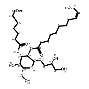 CCCCCCCC/C=C\CCCCCCCC(=O)O[C@H]1[C@@H](OC[C@H](O)CO)O[C@H](CO)[C@@H](O)[C@@H]1OC(=O)CCCCCCCCCCCCCCC